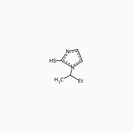 CCC(C)n1ccnc1S